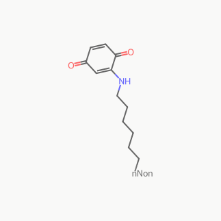 CCCCCCCCCCCCCCCNC1=CC(=O)C=CC1=O